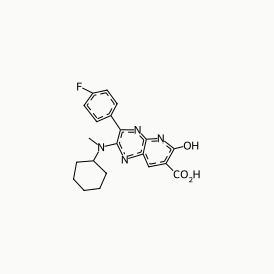 CN(c1nc2cc(C(=O)O)c(O)nc2nc1-c1ccc(F)cc1)C1CCCCC1